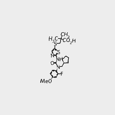 COc1ccc(N(CC2CCCC2)C(=O)Nc2ncc(SCC(C)(C)C(=O)O)s2)c(F)c1